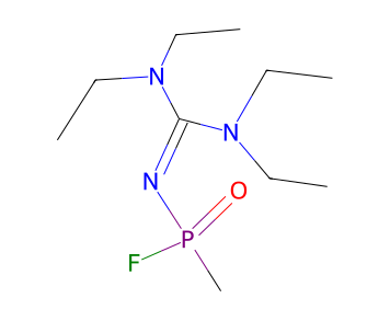 CCN(CC)C(=NP(C)(=O)F)N(CC)CC